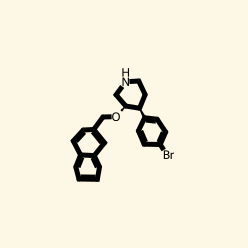 Brc1ccc([C@@H]2CCNC[C@H]2OCc2ccc3ccccc3c2)cc1